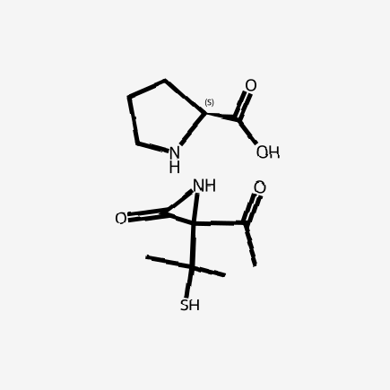 CC(=O)C1(C(C)(C)S)NC1=O.O=C(O)[C@@H]1CCCN1